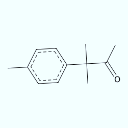 CC(=O)C(C)(C)c1ccc(C)cc1